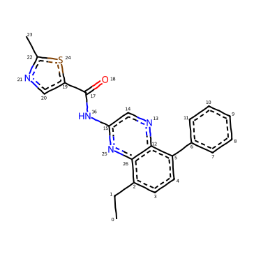 CCc1ccc(-c2ccccc2)c2ncc(NC(=O)c3cnc(C)s3)nc12